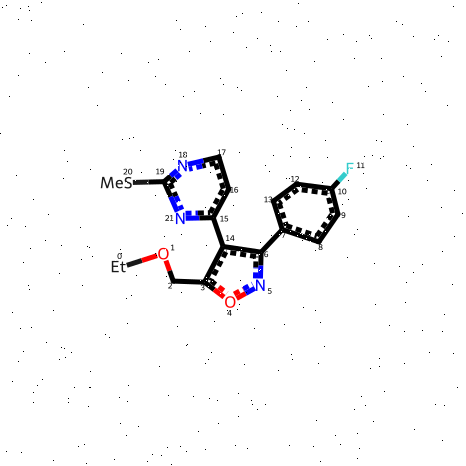 CCOCc1onc(-c2ccc(F)cc2)c1-c1ccnc(SC)n1